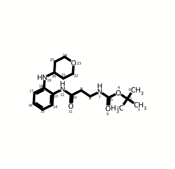 CC(C)(C)OC(=O)NCCC(=O)Nc1ccccc1NC1CCOCC1